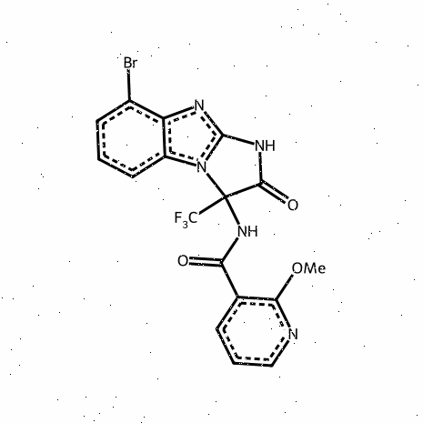 COc1ncccc1C(=O)NC1(C(F)(F)F)C(=O)Nc2nc3c(Br)cccc3n21